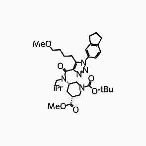 COCCCCc1c(C(=O)N(CC(C)C)[C@H]2C[C@@H](C(=O)OC)CN(C(=O)OC(C)(C)C)C2)nnn1-c1ccc2c(c1)CCC2